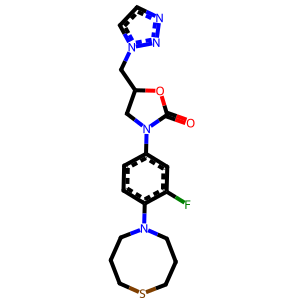 O=C1OC(Cn2ccnn2)CN1c1ccc(N2CCCSCCC2)c(F)c1